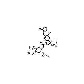 COC[C@H]1CN(C(=O)O)[C@H](C)CN1CC(=O)N1CC(C)(C)c2cc(Br)c(CN3CCCC3=O)cc21